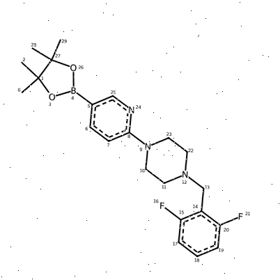 CC1(C)OB(c2ccc(N3CCN(Cc4c(F)cccc4F)CC3)nc2)OC1(C)C